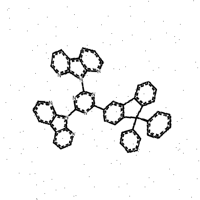 c1ccc(C2(c3ccccc3)c3ccccc3-c3cc(-c4nc(-n5c6ncccc6c6cccnc65)nc(-n5c6ncccc6c6cccnc65)n4)ccc32)cc1